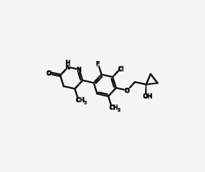 Cc1cc(C2=NNC(=O)CC2C)c(F)c(Cl)c1OCC1(O)CC1